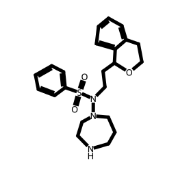 O=S(=O)(c1ccccc1)N(CCC1OCCc2ccccc21)N1CCCNCC1